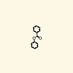 O=C(Oc1ccccc1)c1c[c]ccc1